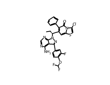 CC[C@@H](c1cc2scc(Cl)n2c(=O)c1-c1ccccc1)n1nc(-c2ccc(OC(F)F)c(F)c2)c2c(N)ncnc21